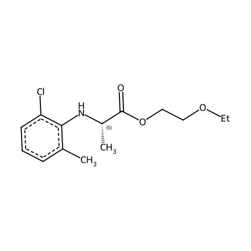 CCOCCOC(=O)[C@H](C)Nc1c(C)cccc1Cl